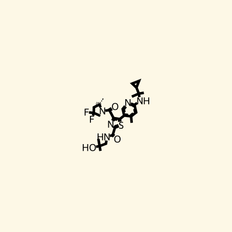 Cc1cc(NC(C)(C)C2CC2)ncc1-c1sc(C(=O)NCC(C)(C)O)nc1C(=O)N1CC(F)(F)C[C@@H]1C